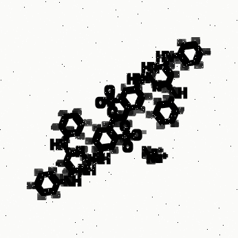 O=S(=O)([O-])c1cc(NN2N=C(Nc3ccccc3)C=C(Nc3ccccc3)N2)ccc1C=Cc1ccc(NN2N=C(Nc3ccccc3)C=C(Nc3ccccc3)N2)cc1S(=O)(=O)[O-].[Na+].[Na+]